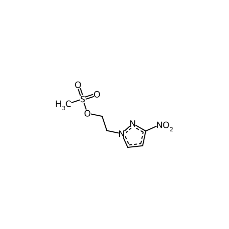 CS(=O)(=O)OCCn1ccc([N+](=O)[O-])n1